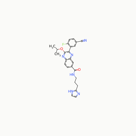 CC(C)Oc1nc2ccc(C(=O)NCCCc3ncc[nH]3)cc2nc1-c1cc(C#N)ccc1F